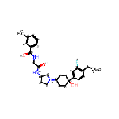 COCc1ccc(C2(O)CCC(N3CC[C@@H](NC(=O)CNC(=O)c4cccc(C(F)(F)F)c4)C3)CC2)cc1F